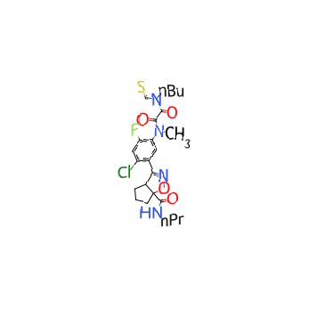 CCCCN(C=S)C(=O)C(=O)N(C)c1cc(C2=NOC3(C(=O)NCCC)CCCC23)c(Cl)cc1F